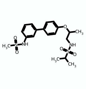 CC(CNS(=O)(=O)C(C)C)Oc1ccc(-c2cccc(NS(C)(=O)=O)c2)cc1